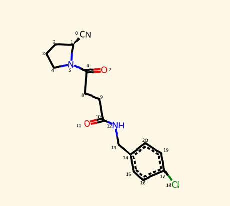 N#C[C@@H]1CCCN1C(=O)CCC(=O)NCc1ccc(Cl)cc1